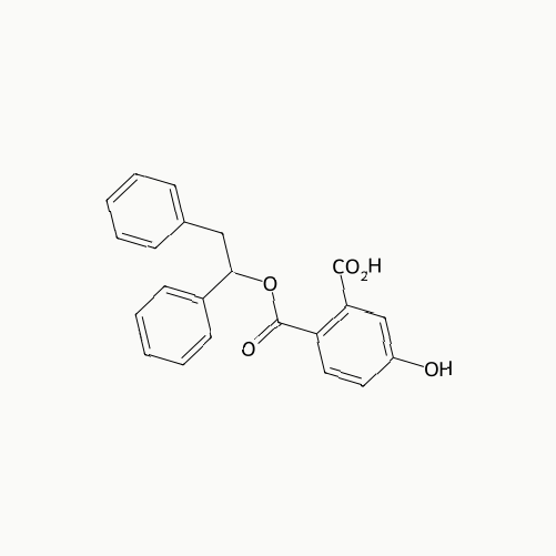 O=C(O)c1cc(O)ccc1C(=O)OC(Cc1ccccc1)c1ccccc1